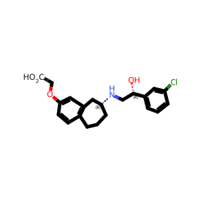 O=C(O)COc1ccc2c(c1)C[C@H](NC[C@H](O)c1cccc(Cl)c1)CCC2